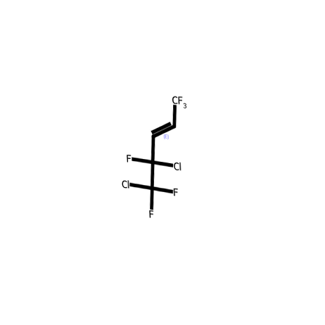 FC(F)(F)/C=C/C(F)(Cl)C(F)(F)Cl